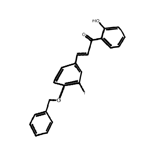 O=C(/C=C/c1ccc(OCc2ccccc2)c(I)c1)c1ccccc1O